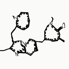 Cc1nc2ccc(-c3cc(C)c(=O)n(C)c3)cn2c1Cc1ccccn1